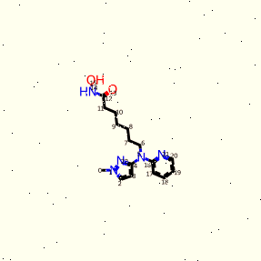 Cn1ccc(N(CCCCCCC(=O)NO)c2ccccn2)n1